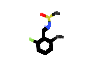 COc1cccc(F)c1/C=N/[S+]([O-])C(C)(C)C